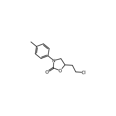 Cc1ccc(N2CC(CCCl)OC2=O)cc1